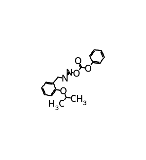 CC(C)Oc1ccccc1CN=NOC(=O)Oc1ccccc1